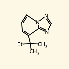 CCC(C)(C)c1cccn2ncnc12